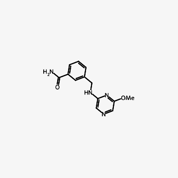 COc1cncc(NCc2cccc(C(N)=O)c2)n1